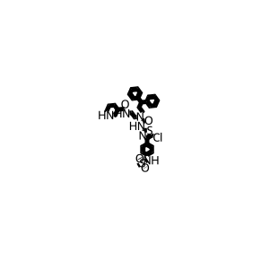 CS(=O)(=O)Nc1ccc(-c2nc(NC(=O)N(CCNC(=O)C3CCCNC3)CCC(c3ccccc3)c3ccccc3)sc2Cl)cc1